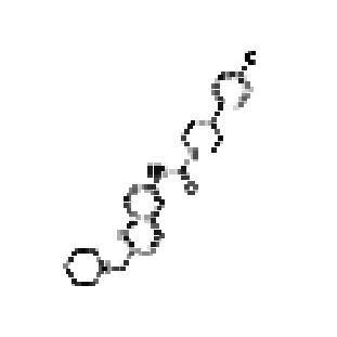 COc1ccc(C2CCN(C(=O)Nc3ccc4nc(CN5CCCCC5)ccc4c3)CC2)cc1